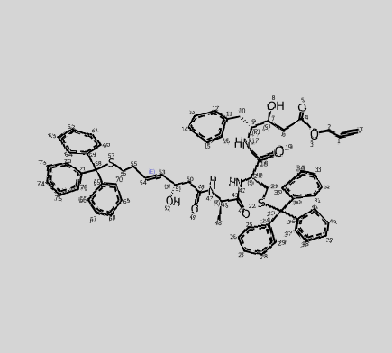 C=CCOC(=O)C[C@H](O)[C@@H](Cc1ccccc1)NC(=O)[C@@H](CSC(c1ccccc1)(c1ccccc1)c1ccccc1)NC(=O)[C@@H](C)NC(=O)C[C@H](O)/C=C/CCSC(c1ccccc1)(c1ccccc1)c1ccccc1